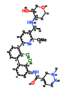 COc1nc(-c2cccc(-c3cccc(NC(=O)C4=CC=NN(C)C4)c3Cl)c2Cl)ccc1[C@H](C)N[C@@H]1CCOC[C@@H]1O